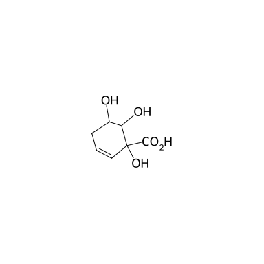 O=C(O)C1(O)C=CCC(O)C1O